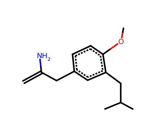 C=C(N)Cc1ccc(OC)c(CC(C)C)c1